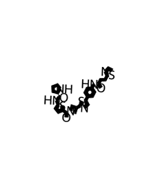 O=C(CCc1nccs1)Nc1ccc(-c2cnc(C3CN(C(=O)c4ccc(NC(=O)[C@@H]5CCCN5)s4)C3)s2)cc1